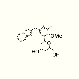 COc1c(C2CC(O)CC(CO)O2)cc(Cc2cc3ccccc3s2)c(C)c1C